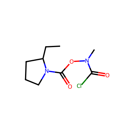 CCC1CCCN1C(=O)ON(C)C(=O)Cl